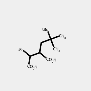 CC(C)C(C(=O)O)C(CC(C)(C)C(C)(C)C)C(=O)O